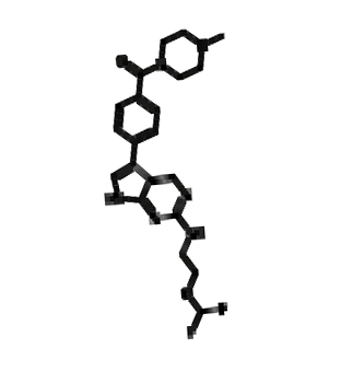 CN1CCN(C(=O)c2ccc(-c3c[nH]c4nc(NCCOC(F)F)ncc34)cc2)CC1